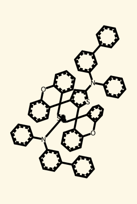 c1ccc(-c2cccc(N(c3ccccc3)c3cc4c(s3)C3(c5ccccc5Oc5ccccc53)c3cc(N(c5ccccc5)c5cccc(-c6ccccc6)c5)sc3C43c4ccccc4Oc4ccccc43)c2)cc1